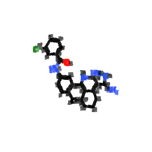 Cc1ccc(NC(=O)c2cccc(Cl)c2)cc1-c1nc2[nH]nc(N)c2c2c1CCCC2